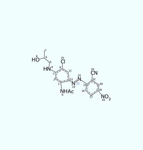 CC(=O)Nc1cc(NCC(C)O)c(Cl)cc1/N=N/c1ccc([N+](=O)[O-])cc1C#N